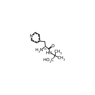 CC(C)(NC(=O)[C@@H](N)Cc1ccncc1)C(=O)O